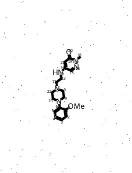 COc1ccccc1N1CCN(CCNc2cnn(C)c(=O)c2)CC1